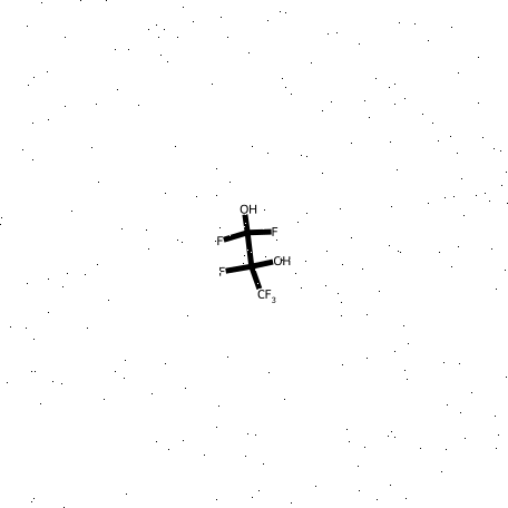 OC(F)(F)C(O)(F)C(F)(F)F